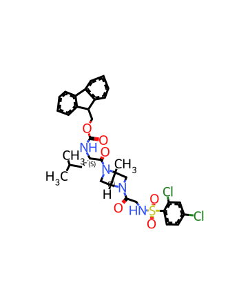 CC(C)C[C@H](NC(=O)OCC1c2ccccc2-c2ccccc21)C(=O)N1C[C@H]2N(C(=O)CNS(=O)(=O)c3ccc(Cl)cc3Cl)CC21C